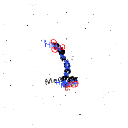 COc1cc(N2CCC(N3CCN(C[C@@H]4CCN(c5ccc6c(c5)CN(C5CCC(=O)NC5=O)C6=O)C4)CC3)CC2)c(C)cc1Nc1ncc(Br)c(Nc2cccc3ccn(S(C)(=O)=O)c23)n1